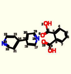 O=C(O)c1ccccc1C(=O)O.c1cc(-c2ccncc2)ccn1